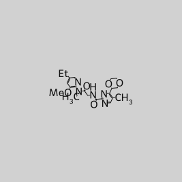 CCc1cnc(N(C)C(=O)CNC(=O)c2ncc(C)c(C3COCCO3)n2)c(OC)c1